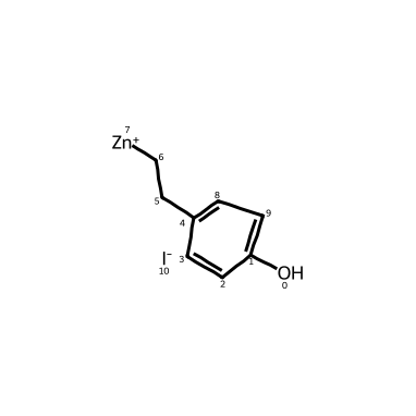 Oc1ccc(C[CH2][Zn+])cc1.[I-]